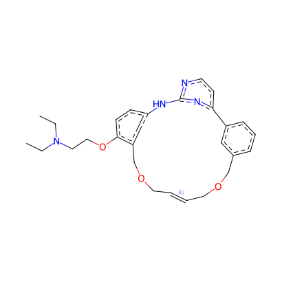 CCN(CC)CCOc1ccc2cc1COC/C=C/COCc1cccc(c1)-c1ccnc(n1)N2